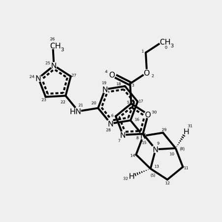 CCOC(=O)c1cnc(N2[C@@H]3CC[C@H]2CN(c2ccnc(Nc4cnn(C)c4)n2)C3)o1